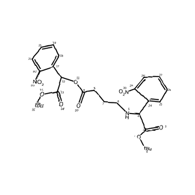 CC(C)(C)OC(=O)C(NCCCC(=O)OC(C(=O)OC(C)(C)C)c1ccccc1[N+](=O)[O-])c1ccccc1[N+](=O)[O-]